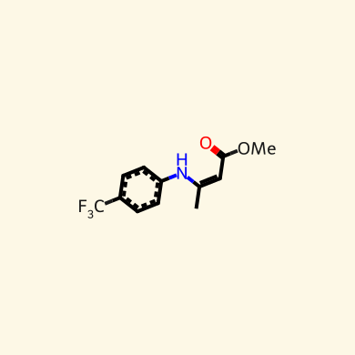 COC(=O)/C=C(/C)Nc1ccc(C(F)(F)F)cc1